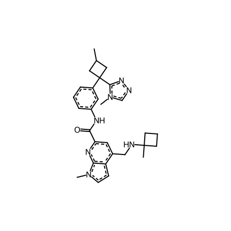 CC1CC(c2cccc(NC(=O)c3cc(CNC4(C)CCC4)c4ccn(C)c4n3)c2)(c2nncn2C)C1